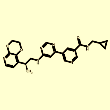 C[C@H](CNc1cc(-c2cncc(C(=O)NCC3CC3)c2)ncn1)c1ccnc2c1OCCO2